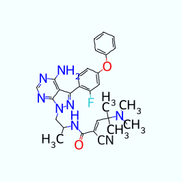 CC(Cn1nc(-c2ccc(Oc3ccccc3)cc2F)c2c(N)ncnc21)NC(=O)C(C#N)=CC(C)(C)N(C)C